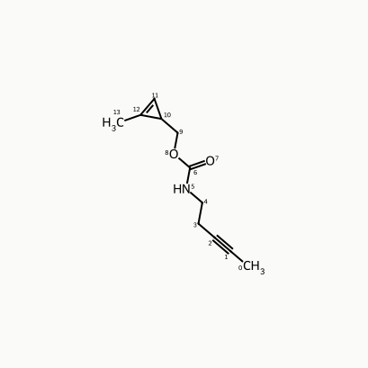 CC#CCCNC(=O)OCC1C=C1C